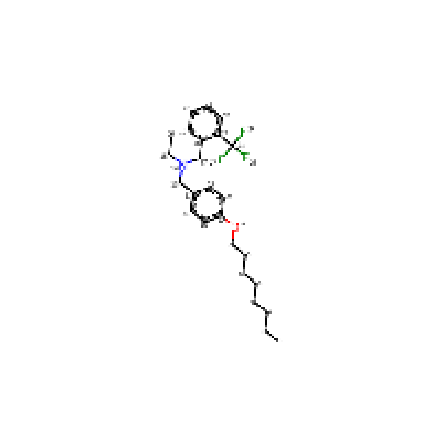 CCCCCCCCOc1ccc(CN(CC)Cc2ccccc2C(F)(F)F)cc1